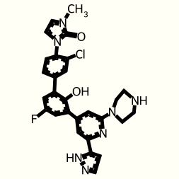 Cn1ccn(-c2ccc(-c3cc(F)cc(-c4cc(-c5ccn[nH]5)nc(N5CCNCC5)c4)c3O)cc2Cl)c1=O